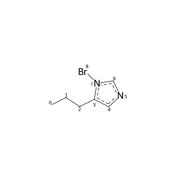 CCCc1cncn1Br